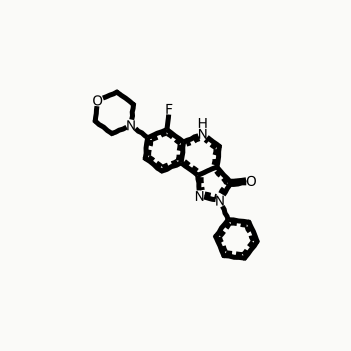 O=c1c2c[nH]c3c(F)c(N4CCOCC4)ccc3c-2nn1-c1ccccc1